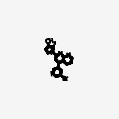 Cc1ccn(-c2cc(-c3cncc(Br)c3)c3cccnc3n2)n1